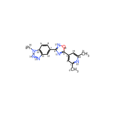 Cc1cc(-c2nc(-c3ccc4c(c3)nnn4C(C)C)no2)cc(C)n1